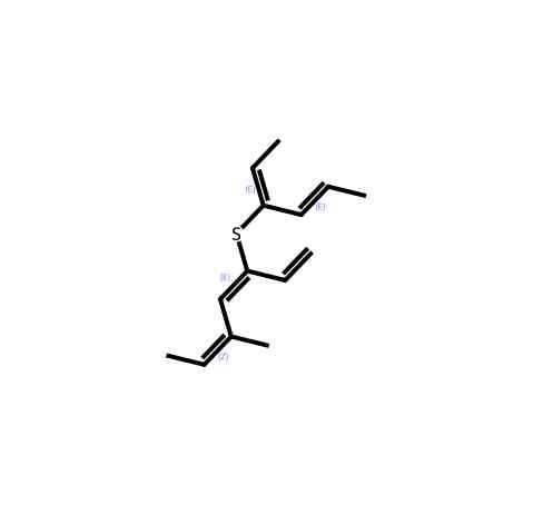 C=C/C(=C\C(C)=C/C)SC(/C=C/C)=C/C